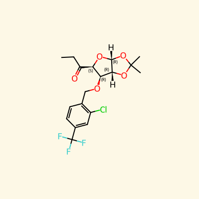 CCC(=O)[C@H]1O[C@@H]2OC(C)(C)O[C@@H]2[C@H]1OCc1ccc(C(F)(F)F)cc1Cl